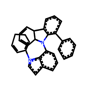 C1=CC2c3cccc(-c4ccccc4)c3N(c3cccc4ccn(C5=CCCC=C5)c34)C2C=C1